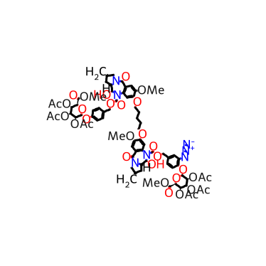 C=C1C[C@H]2[C@H](O)N(C(=O)OCc3ccc(O[C@@H]4O[C@H](C(=O)OC)[C@@H](OC(C)=O)[C@H](OC(C)=O)[C@H]4OC(C)=O)cc3)c3cc(OCCCCCOc4cc5c(cc4OC)C(=O)N4CC(=C)C[C@H]4[C@H](O)N5C(=O)OCc4ccc(O[C@@H]5O[C@H](C(=O)OC)[C@@H](OC(C)=O)[C@H](OC(C)=O)[C@H]5OC(C)=O)c(N=[N+]=[N-])c4)c(OC)cc3C(=O)N2C1